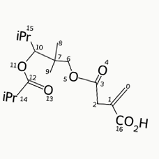 C=C(CC(=O)OCC(C)(C)C(OC(=O)C(C)C)C(C)C)C(=O)O